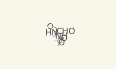 CC(NC1C(=O)O[C@@H](C)[C@@H]1C)N[C@@H](C=O)Cc1ccccc1